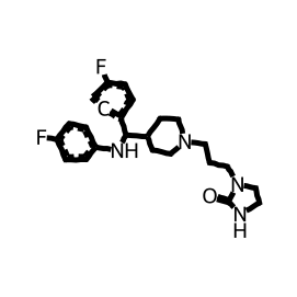 O=C1NCCN1CCCN1CCC(C(Nc2ccc(F)cc2)c2ccc(F)cc2)CC1